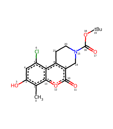 Cc1c(O)cc(Cl)c2c3c(c(=O)oc12)CN(C(=O)OC(C)(C)C)CC3